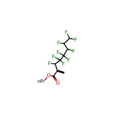 C=C(C(=O)OCCC)C(F)C(F)(F)C(F)(F)C(F)C(F)C(F)F